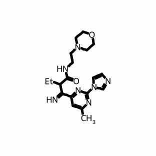 CCC(C(=N)c1cc(C)nc(-n2ccnc2)n1)C(=O)NCCN1CCOCC1